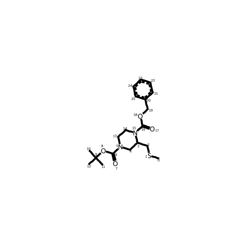 CSCC1CN(C(=O)OC(C)(C)C)CCN1C(=O)OCc1ccccc1